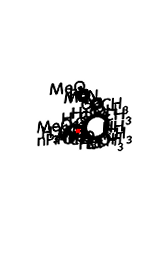 CCCNC[C@]1(O)[C@H](C)O[C@@H](O[C@H]2[C@H](C)[C@@H](O[C@@H]3O[C@H](C)C[C@H](NC)[C@H]3Oc3ccc(OC)c(F)c3)[C@](C)(O)C[C@@H](C)CN[C@H](C)[C@@H](O)[C@](C)(O)[C@@H](CC)OC(=O)[C@@H]2C)C[C@@]1(C)OC